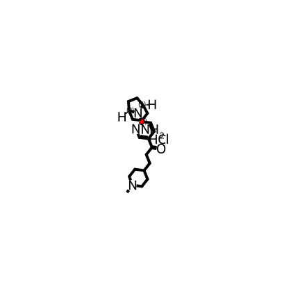 CN1CCC(CCC(=O)c2ccc(N3[C@@H]4CC[C@H]3C[C@@H](N)C4)nc2)CC1.Cl